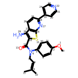 COc1ccc(N(CC=C(C)C)C(=O)c2sc3nc(-c4ccncc4)ccc3c2N)cc1